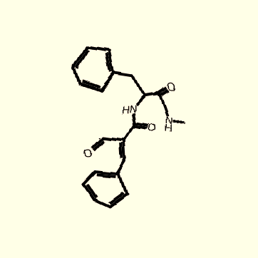 CNC(=O)C(Cc1ccccc1)NC(=O)C([C]=O)=Cc1ccccc1